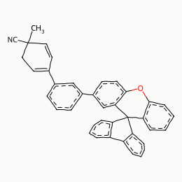 CC1(C#N)C=CC(c2cccc(-c3ccc4c(c3)C3(c5ccccc5O4)c4ccccc4-c4ccccc43)c2)=CC1